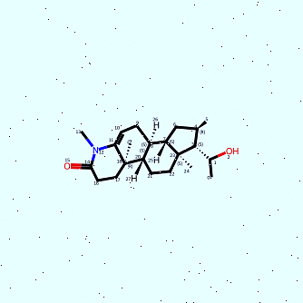 CC(O)[C@H]1[C@H](C)C[C@H]2[C@@H]3CC=C4N(C)C(=O)CC[C@]4(C)[C@H]3CC[C@@]21C